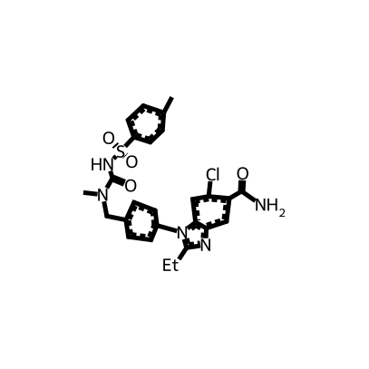 CCc1nc2cc(C(N)=O)c(Cl)cc2n1-c1ccc(CN(C)C(=O)NS(=O)(=O)c2ccc(C)cc2)cc1